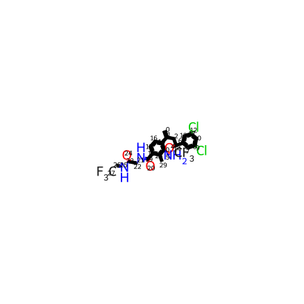 C=C(CC(ON)(c1cc(Cl)cc(Cl)c1)C(F)(F)F)c1ccc(C(=O)NCC(=O)NCC(F)(F)F)c(C)c1